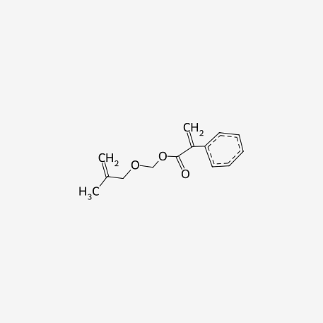 C=C(C)COCOC(=O)C(=C)c1ccccc1